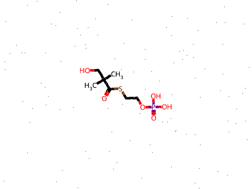 CC(C)(CO)C(=O)SCCOP(=O)(O)O